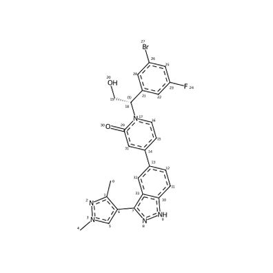 Cc1nn(C)cc1-c1n[nH]c2ccc(-c3ccn([C@H](CO)c4cc(F)cc(Br)c4)c(=O)c3)cc12